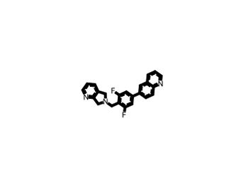 Fc1cc(-c2ccc3ncccc3c2)cc(F)c1CN1Cc2cccnc2C1